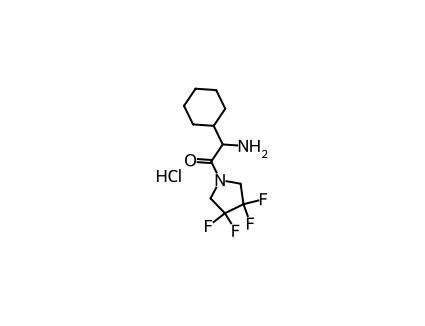 Cl.NC(C(=O)N1CC(F)(F)C(F)(F)C1)C1CCCCC1